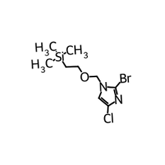 C[Si](C)(C)CCOCn1cc(Cl)nc1Br